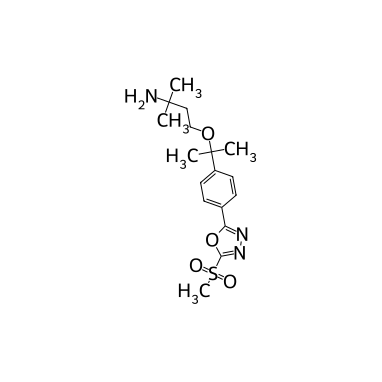 CC(C)(N)CCOC(C)(C)c1ccc(-c2nnc(S(C)(=O)=O)o2)cc1